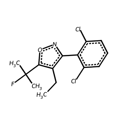 CCc1c(-c2c(Cl)cccc2Cl)noc1C(C)(C)F